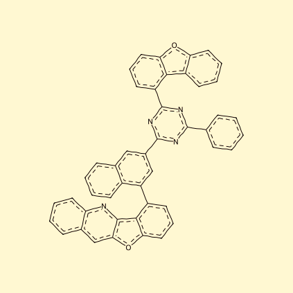 c1ccc(-c2nc(-c3cc(-c4cccc5oc6cc7ccccc7nc6c45)c4ccccc4c3)nc(-c3cccc4oc5ccccc5c34)n2)cc1